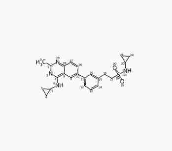 Cc1nc(NC2CC2)c2cc(-c3cccc(CCS(=O)(=O)NC4CC4)c3)ccc2n1